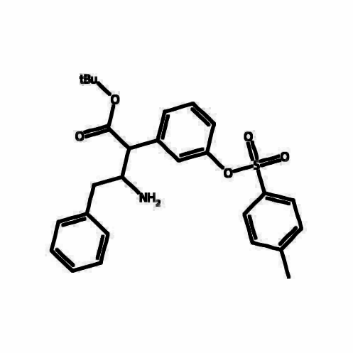 Cc1ccc(S(=O)(=O)Oc2cccc(C(C(=O)OC(C)(C)C)C(N)Cc3ccccc3)c2)cc1